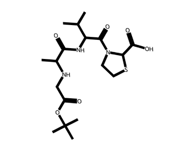 CC(NCC(=O)OC(C)(C)C)C(=O)NC(C(=O)N1CCSC1C(=O)O)C(C)C